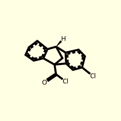 O=C(Cl)C12C[C@H](c3ccccc31)c1ccc(Cl)cc12